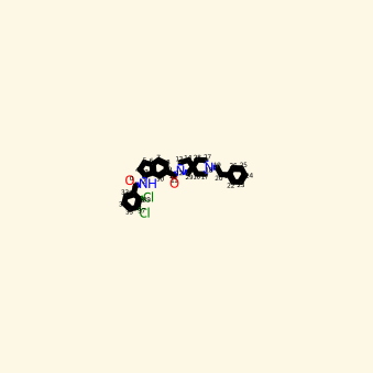 O=C(NC1CCc2ccc(C(=O)N3CCC4(CCN(CCc5ccccc5)CC4)C3)cc21)c1cccc(Cl)c1Cl